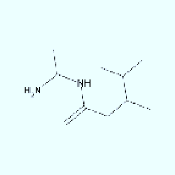 C=C(CC(C)C(C)C)NC(C)N